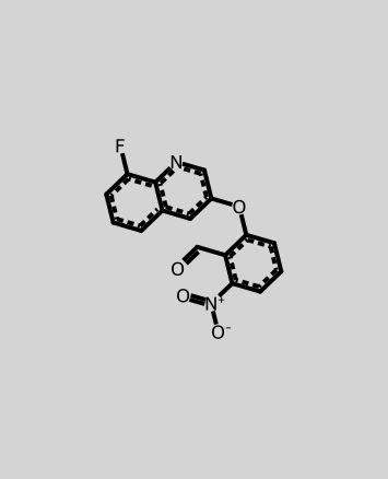 O=Cc1c(Oc2cnc3c(F)cccc3c2)cccc1[N+](=O)[O-]